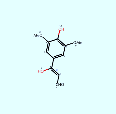 COc1cc(/C(O)=C/C=O)cc(OC)c1O